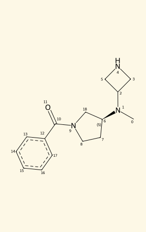 CN(C1CNC1)[C@H]1CCN(C(=O)c2ccccc2)C1